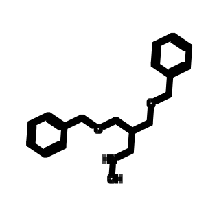 ONCC(COCc1ccccc1)COCc1ccccc1